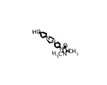 Cc1nn(C)c(=O)n1-c1ccc(N2CCN(c3ccc(O)cc3)CC2)cc1